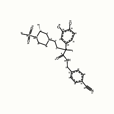 C[C@@H]1CN(CCC(C)(C(=O)NCc2ccc(C#N)cc2)c2ccc(Cl)c(Cl)c2)CCN1S(C)(=O)=O